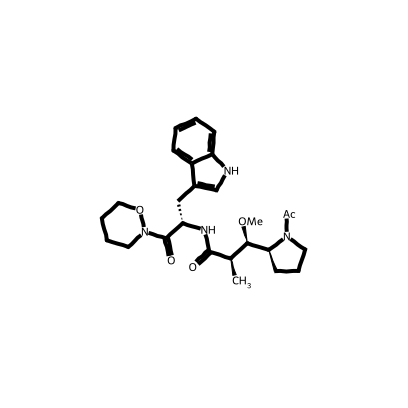 CO[C@H]([C@@H](C)C(=O)N[C@@H](Cc1c[nH]c2ccccc12)C(=O)N1CCCCO1)[C@@H]1CCCN1C(C)=O